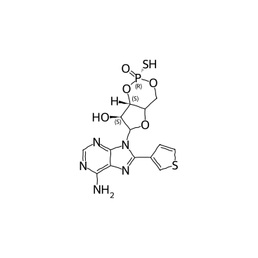 Nc1ncnc2c1nc(-c1ccsc1)n2C1OC2CO[P@@](=O)(S)O[C@H]2[C@@H]1O